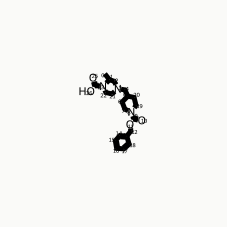 CC1CN(CC2CCN(C(=O)OCc3ccccc3)CC2)CCN1C(=O)O